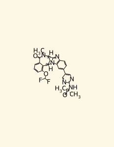 CN1C(=O)c2cccc(OC(F)F)c2[C@H]2C[C@@H]1c1nc3ccc(-c4cnc(NP(C)(C)=O)nc4)cc3n12